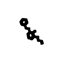 C=CCOc1cccc(OCc2ccccc2)c1C